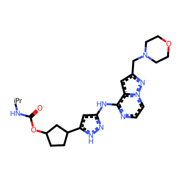 CC(C)NC(=O)OC1CCC(c2cc(Nc3nccn4nc(CN5CCOCC5)cc34)n[nH]2)C1